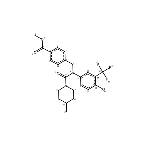 COC(=O)c1ccc(CN(C(=O)N2CCC(C)CC2)c2ccc(Cl)c(C(F)(F)F)c2)cc1